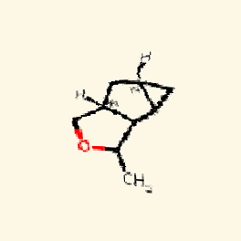 CC1OC[C@@H]2C[C@@H]3CC3C12